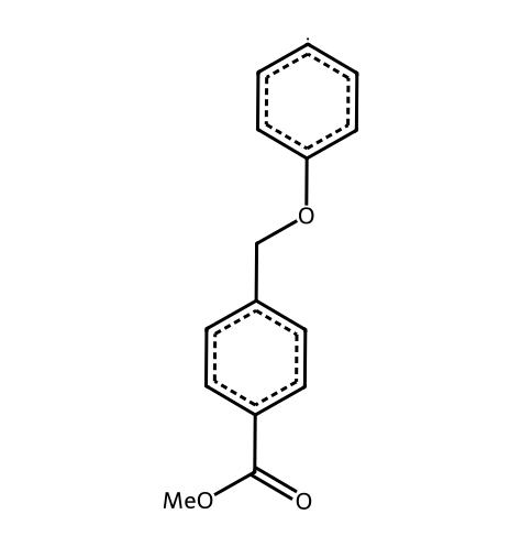 COC(=O)c1ccc(COc2cc[c]cc2)cc1